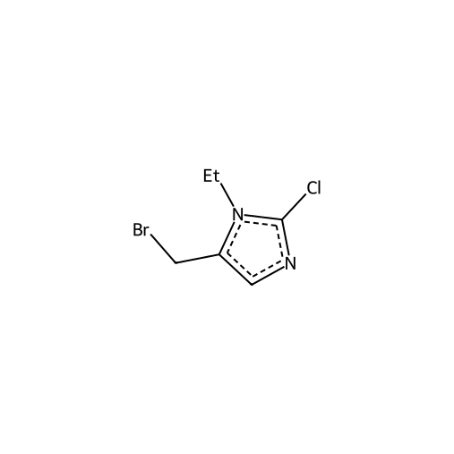 CCn1c(CBr)cnc1Cl